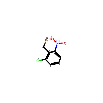 [O-][NH+](O)c1cccc(Cl)c1CBr